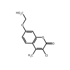 Cc1c(Cl)c(=O)oc2cc(OCC(=O)O)ccc12